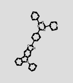 c1ccc(-c2nc(-c3ccccc3)nc(-c3ccc(-c4nc5cc6c(cc5o4)c4ccccc4n6-c4ccccc4)cc3)n2)cc1